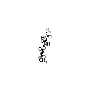 COC(=O)/C=C/C(=O)OCNC(=O)CNC(C)=O